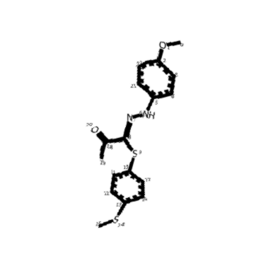 COc1ccc(NN=C(Sc2ccc(SC)cc2)C(C)=O)cc1